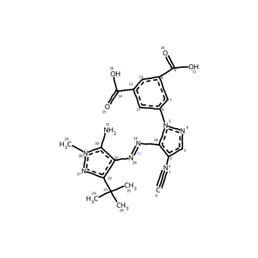 [C-]#[N+]c1cnn(-c2cc(C(=O)O)cc(C(=O)O)c2)c1/N=N/c1c(C(C)(C)C)nn(C)c1N